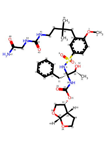 COc1ccc(S(=O)(=O)N[C@](Cc2ccccc2)(NC(=O)O[C@H]2CO[C@H]3OCC[C@H]32)[C@@H](C)O)cc1CC(C)(C)CCNC(=O)NCC(N)=O